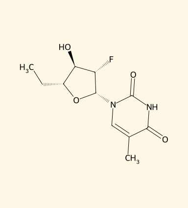 CC[C@H]1O[C@@H](n2cc(C)c(=O)[nH]c2=O)[C@@H](F)[C@@H]1O